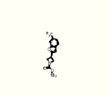 CC(C)(C)OC(=O)N1CC(c2cc3ccc(C(F)(F)F)cc3o2)C1